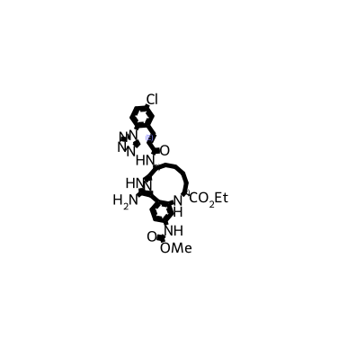 CCOC(=O)[C@H]1CCCC[C@H](NC(=O)/C=C/c2cc(Cl)ccc2-n2cnnn2)c2nc(c(N)[nH]2)-c2ccc(NC(=O)OC)cc2N1